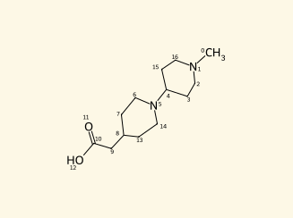 CN1CCC(N2CCC(CC(=O)O)CC2)CC1